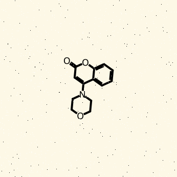 O=c1cc(N2CCOCC2)c2ccccc2o1